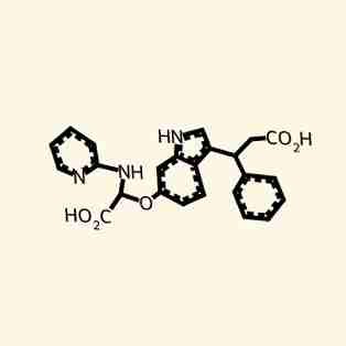 O=C(O)CC(c1ccccc1)c1c[nH]c2cc(OC(Nc3ccccn3)C(=O)O)ccc12